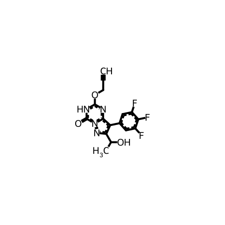 C#CCOc1nc2c(-c3cc(F)c(F)c(F)c3)c(C(C)O)nn2c(=O)[nH]1